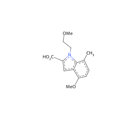 COCCn1c(C(=O)O)cc2c(OC)ccc(C)c21